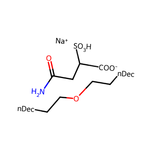 CCCCCCCCCCCCOCCCCCCCCCCCC.NC(=O)CC(C(=O)[O-])S(=O)(=O)O.[Na+]